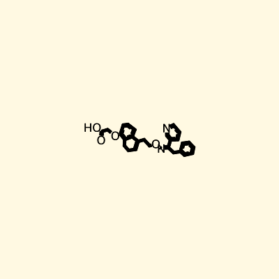 O=C(O)COc1cccc2c1CCC=C2CCON=C(Cc1ccccc1)c1cccnc1